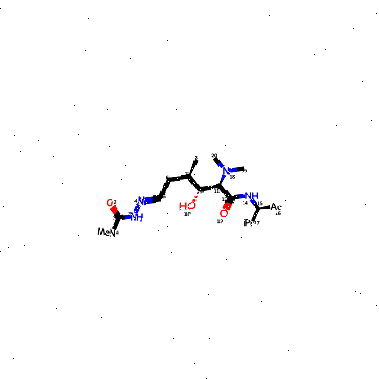 CNC(=O)N/N=C/C[C@@H](C)[C@@H](O)[C@H](C(=O)N[C@@H](C(C)=O)C(C)C)N(C)C